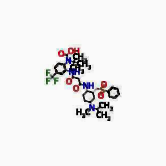 CC(C)N(C)[C@@H]1CC[C@H](NC(=O)CC(=O)Nc2cc(C(F)(F)F)ccc2N(C(=O)O)C(C)(C)C)[C@H](CS(=O)(=O)c2ccccc2)C1